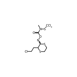 CN(SC(Cl)(Cl)Cl)C(=O)ON=C1SCCSC1CCCl